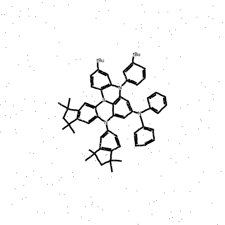 CC(C)(C)c1cccc(N2c3cc(C(C)(C)C)ccc3B3c4cc5c(cc4N(c4ccc6c(c4)C(C)(C)CC6(C)C)c4cc(N(c6ccccc6)c6ccccc6)cc2c43)C(C)(C)CC5(C)C)c1